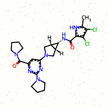 Cc1[nH]c(C(=O)N[C@@H]2[C@@H]3CN(c4cc(C(=O)N5CCCC5)nc(N5CCCC5)n4)C[C@@H]32)c(Cl)c1Cl